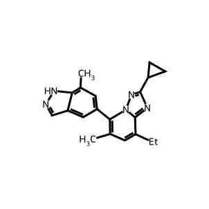 CCc1cc(C)c(-c2cc(C)c3[nH]ncc3c2)n2nc(C3CC3)nc12